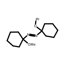 COC1(N=NC2(OC(C)C)CCCCC2)CCCCC1